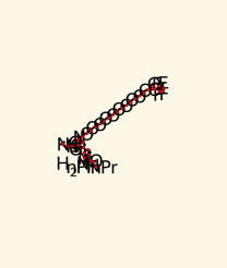 CCCN(CCC)C(=O)C1=Cc2ccc(-c3ccc(CN(C)CCOCCOCCOCCOCCOCCOCCOCCOCCOCCOCCC(=O)Oc4c(F)c(F)cc(F)c4F)c(S(=O)(=O)N4CC(CN(C)C)C4)c3)cc2N=C(N)C1